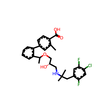 Cc1cc(-c2ccccc2C(C)OC[C@@H](O)CNC(C)(C)Cc2cc(F)c(Cl)cc2F)ccc1C(=O)O